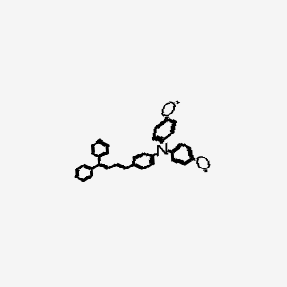 COc1ccc(N(c2ccc(C=CC=C(c3ccccc3)c3ccccc3)cc2)c2ccc(OC)cc2)cc1